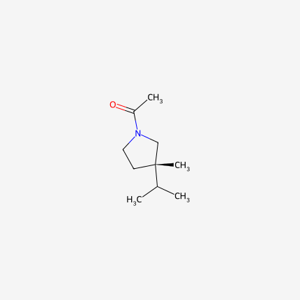 CC(=O)N1CC[C@@](C)(C(C)C)C1